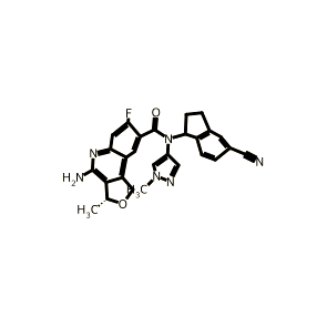 C[C@H]1OCc2c1c(N)nc1cc(F)c(C(=O)N(c3cnn(C)c3)C3CCc4cc(C#N)ccc43)cc21